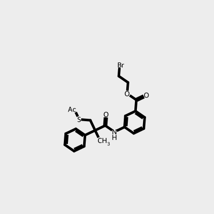 CC(=O)SCC(C)(C(=O)Nc1cccc(C(=O)OCCBr)c1)c1ccccc1